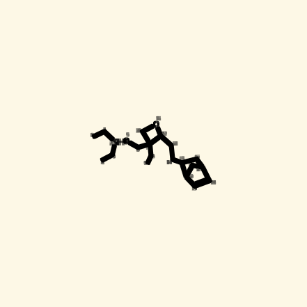 CC[SiH](CC)OCC1(CC)COC1CCC1CC2C=CC1C2